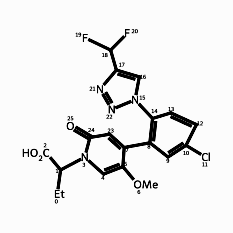 CCC(C(=O)O)n1cc(OC)c(-c2cc(Cl)ccc2-n2cc(C(F)F)nn2)cc1=O